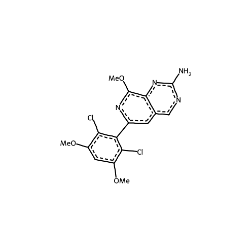 COc1cc(OC)c(Cl)c(-c2cc3cnc(N)nc3c(OC)n2)c1Cl